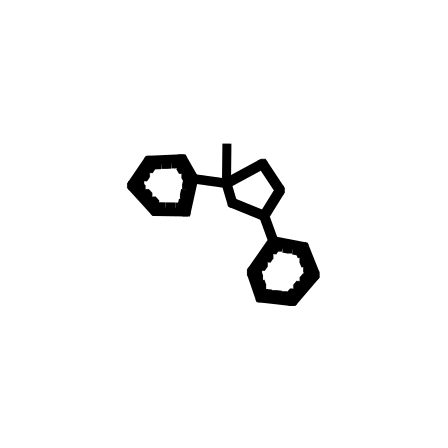 CC1(c2ccccc2)CCC(c2ccccc2)C1